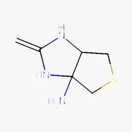 C=C1NC2CSCC2(N)N1